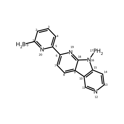 Bc1cccc(-c2ccc3c4cnccc4n(P)c3n2)n1